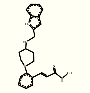 O=C(C=Cc1ccccc1N1CCC(NCc2cc3ccccc3[nH]2)CC1)NO